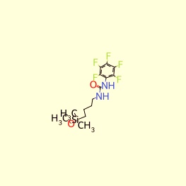 CO[Si](C)(C)CCCCNC(=O)Nc1c(F)c(F)c(F)c(F)c1F